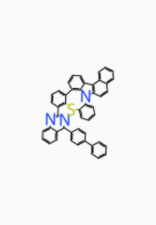 c1ccc(-c2ccc(-c3nc(-c4cccc5c4sc4ccccc4n4c6ccc7ccccc7c6c6cccc5c64)nc4ccccc34)cc2)cc1